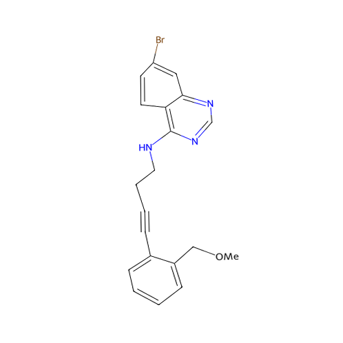 COCc1ccccc1C#CCCNc1ncnc2cc(Br)ccc12